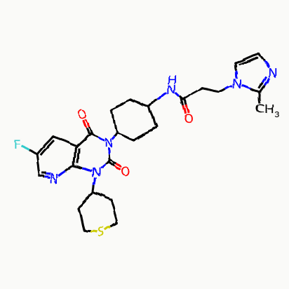 Cc1nccn1CCC(=O)NC1CCC(n2c(=O)c3cc(F)cnc3n(C3CCSCC3)c2=O)CC1